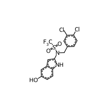 O=S(=O)(N(Cc1ccc(Cl)c(Cl)c1)c1cc2cc(O)ccc2[nH]1)C(F)(F)F